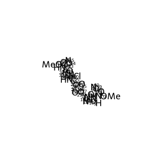 COC(=O)NC(C(=O)N1CCC[C@H]1c1ncc(-c2cc3c4c(c2)OCc2cc(-c5[nH]c([C@@H]6CCCN6C(=O)C(NC(=O)OC)c6cccnc6)nc5Cl)cc(c2-4)OC3)[nH]1)c1cccnc1